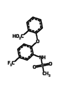 CS(=O)(=O)Nc1cc(C(F)(F)F)ccc1Oc1ccccc1C(=O)O